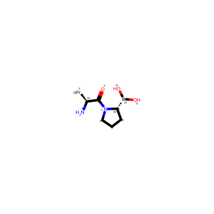 CCC[C@H](N)C(=O)N1CCC[C@H]1B(O)O